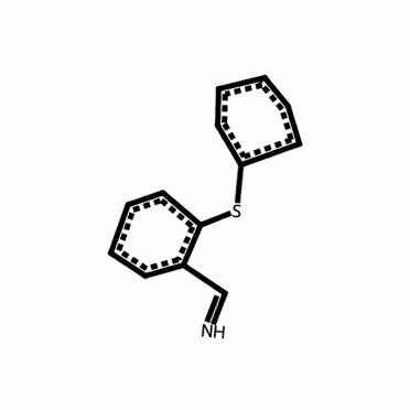 N=Cc1ccccc1Sc1ccccc1